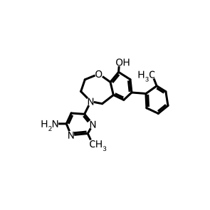 Cc1nc(N)cc(N2CCOc3c(O)cc(-c4ccccc4C)cc3C2)n1